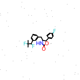 CC(C)(F)C(F)c1cccc(CC2NC(=O)OC2c2ccc(F)cc2)c1